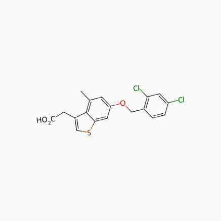 Cc1cc(OCc2ccc(Cl)cc2Cl)cc2scc(CC(=O)O)c12